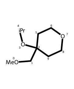 COCC1(OC(C)C)CCOCC1